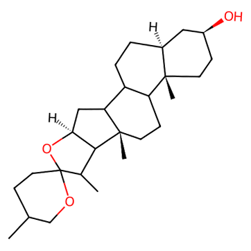 CC1CCC2(OC1)O[C@H]1CC3C4CC[C@H]5C[C@@H](O)CC[C@]5(C)C4CC[C@]3(C)C1C2C